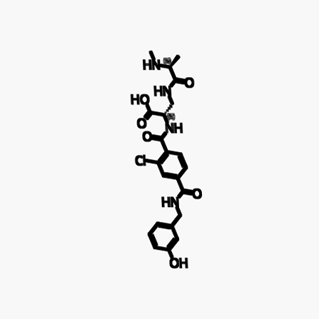 CN[C@@H](C)C(=O)NC[C@H](NC(=O)c1ccc(C(=O)NCc2cccc(O)c2)cc1Cl)C(=O)O